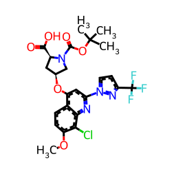 COc1ccc2c(O[C@H]3C[C@@H](C(=O)O)N(C(=O)OC(C)(C)C)C3)cc(-n3ccc(C(F)(F)F)n3)nc2c1Cl